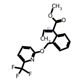 C/C=C(/C(=O)OC)c1ccccc1COc1cccc(C(F)(F)F)n1